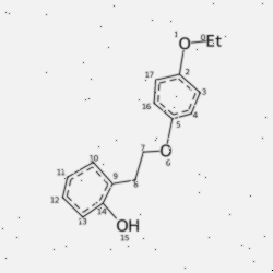 CCOc1ccc(OCCc2ccccc2O)cc1